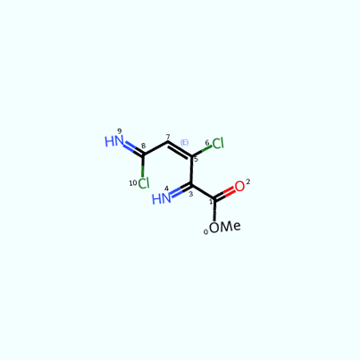 COC(=O)C(=N)/C(Cl)=C\C(=N)Cl